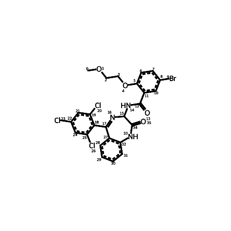 COCCOc1ccc(Br)cc1C(=O)NC1N=C(c2c(Cl)cc(Cl)cc2Cl)c2ccccc2NC1=O